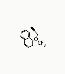 C#CCOC(F)(F)F.c1ccc2ccccc2c1